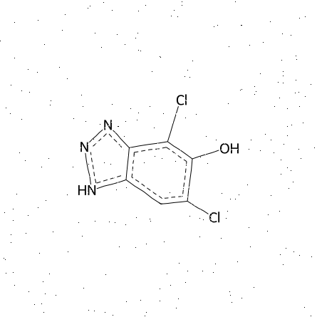 Oc1c(Cl)cc2[nH]nnc2c1Cl